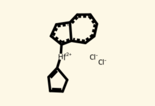 C1=CC[C]([Hf+2][c]2ccc3cccccc2-3)=C1.[Cl-].[Cl-]